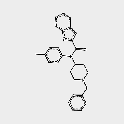 O=C(c1cc2ccccc2s1)N(c1ccc(I)cc1)C1CCN(Cc2ccccc2)CC1